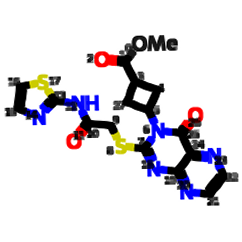 COC(=O)C1CC(n2c(SCC(=O)Nc3nccs3)nc3nccnc3c2=O)C1